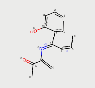 C=C(/N=C(\C=C/C)c1ccccc1O)C(C)=O